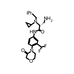 CC(C)CN(C1CC1)[C@H](CN)C(=O)Nc1ccc(N2CCOCC2=O)c(C(F)F)c1